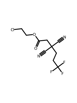 N#CC(C#N)(CCC(F)(F)F)CC(=O)OCCCl